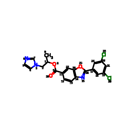 CC(Cn1ccnc1)OC(=O)c1ccc2nc(-c3cc(Cl)cc(Cl)c3)oc2c1